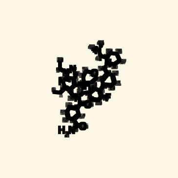 CCc1nc2c(cnn2CC)c(NC2CCOCC2)c1CN(Cc1ccc(F)c(-c2cccc(CN3CCCCC3CN(C)C)c2)c1)C(=O)c1cccc(C(N)=O)c1